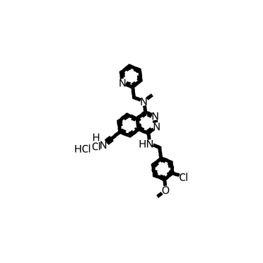 COc1ccc(CNc2nnc(N(C)Cc3ccccn3)c3ccc(C#N)cc23)cc1Cl.Cl.Cl